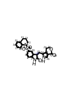 O=C1Nc2ccc(S(=O)(=O)N3CCCc4ccccc43)cc2/C1=C/c1[nH]cc2c1CCOC2=O